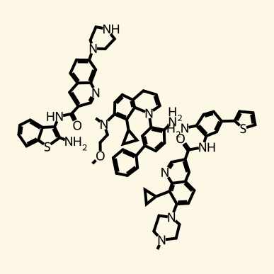 CN1CCN(c2ccc3cc(C(=O)Nc4cc(-c5cccs5)ccc4N)cnc3c2C2CC2)CC1.COCCN(C)c1ccc2c(c1C1CC1)N(c1cc(-c3ccccc3)ccc1N)C=CC2.Nc1sc2ccccc2c1NC(=O)c1cnc2cc(N3CCNCC3)ccc2c1